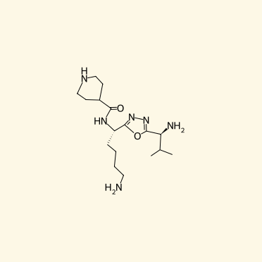 CC(C)[C@H](N)c1nnc([C@H](CCCCN)NC(=O)C2CCNCC2)o1